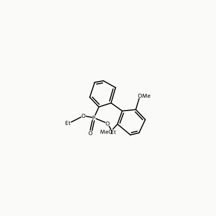 CCOP(=O)(OCC)c1ccccc1-c1c(OC)cccc1OC